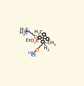 CCNCCOCCCCc1ccc(C2(c3ccc(OCCCCCN(C)C)c(C(=O)OCC)c3)c3cc(C)ccc3-c3ccc(C)cc32)cc1C